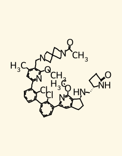 COc1nc(-c2cccc(-c3cccc(-c4cc5c(c(OC)n4)[C@@H](NC[C@@H]4CCC(=O)N4)CC5)c3Cl)c2Cl)cc(C)c1CN1CC2(C1)CN(C(C)=O)C2